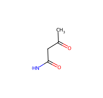 CC(=O)CC([NH])=O